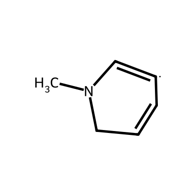 CN1C=[C]C=CC1